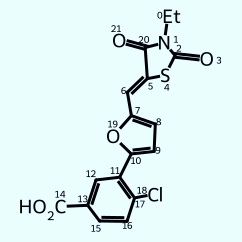 CCN1C(=O)S/C(=C\c2ccc(-c3cc(C(=O)O)ccc3Cl)o2)C1=O